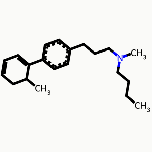 CCCCN(C)CCCc1ccc(C2=CC=CCC2C)cc1